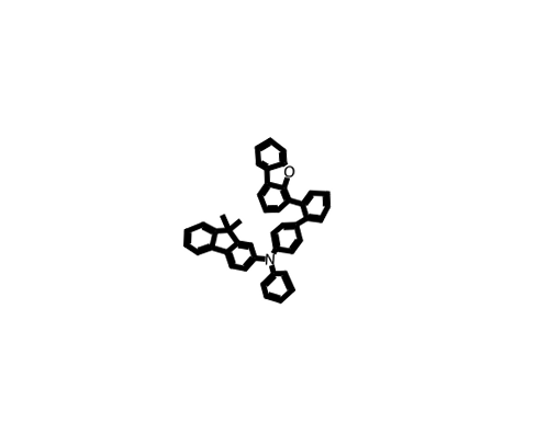 CC1(C)c2ccccc2-c2ccc(N(c3ccccc3)c3ccc(-c4ccccc4-c4cccc5c4oc4ccccc45)cc3)cc21